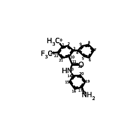 Cc1cc(-c2ccccc2)c(C(=O)Nc2ccc(N)cc2)cc1C(F)(F)F